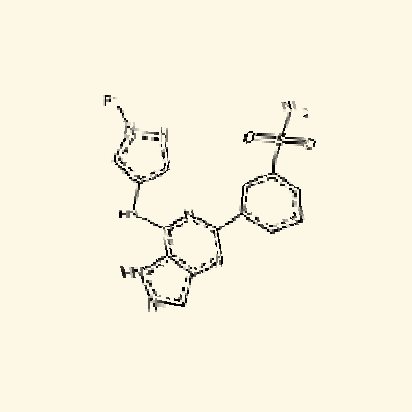 CC(C)n1cc(Nc2nc(-c3cccc(S(N)(=O)=O)c3)nc3cn[nH]c23)cn1